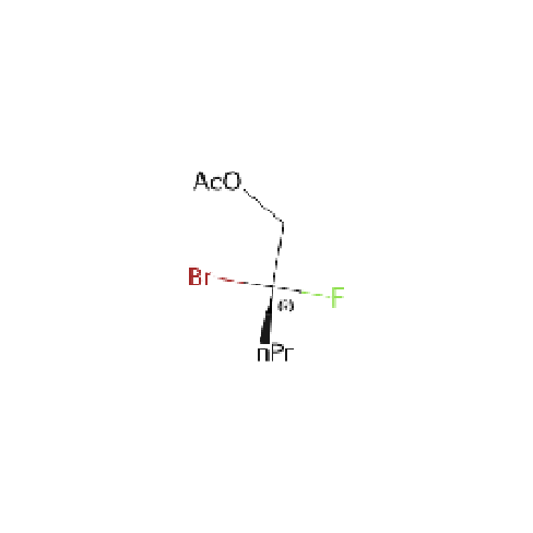 CCC[C@@](F)(Br)COC(C)=O